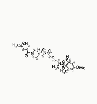 COc1cc(C)c(S(=O)(=O)N(C)CCOCC(=O)N(C)CC2CCN(C(=O)CCN(C)C)CC2)c(C)c1